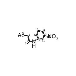 CC(=O)C=C(C)Nc1cccc([N+](=O)[O-])c1